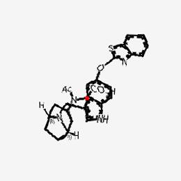 CC(=O)N(CC(=O)O)C1C[C@H]2CC[C@@H](C1)N2Cc1c[nH]c2ccc(Oc3nc4ccccc4s3)cc12